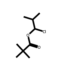 CC(C)C(Cl)OC(=O)C(C)(C)C